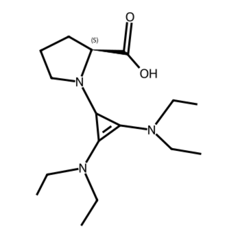 CCN(CC)C1=C(N(CC)CC)C1N1CCC[C@H]1C(=O)O